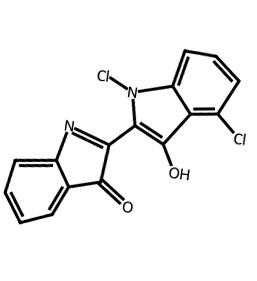 O=C1C(c2c(O)c3c(Cl)cccc3n2Cl)=Nc2ccccc21